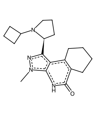 Cn1nc([C@@H]2CCCN2C2CCC2)c2c3c(c(=O)[nH]c21)CCCC3